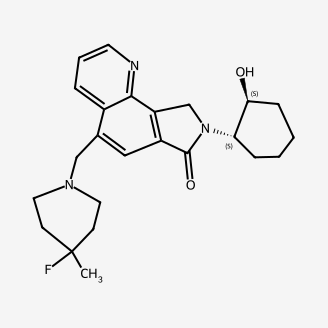 CC1(F)CCN(Cc2cc3c(c4ncccc24)CN([C@H]2CCCC[C@@H]2O)C3=O)CC1